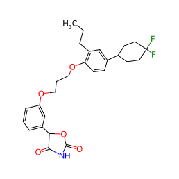 CCCc1cc(C2CCC(F)(F)CC2)ccc1OCCCOc1cccc(C2OC(=O)NC2=O)c1